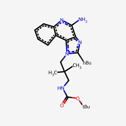 CCCCc1nc2c(N)nc3ccccc3c2n1CC(C)(C)CNC(=O)OC(C)(C)C